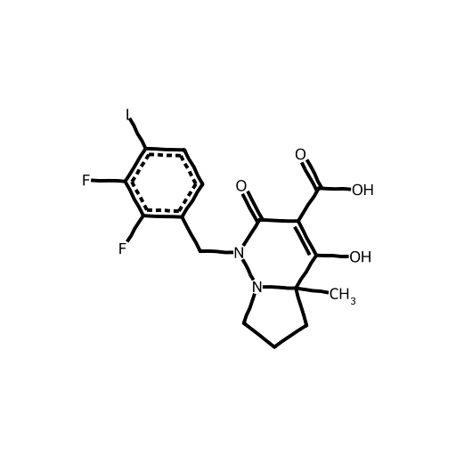 CC12CCCN1N(Cc1ccc(I)c(F)c1F)C(=O)C(C(=O)O)=C2O